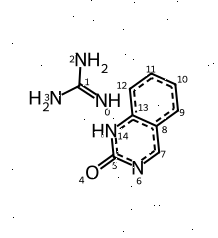 N=C(N)N.O=c1ncc2ccccc2[nH]1